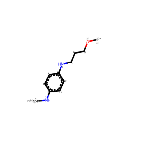 CCCCCCCNc1ccc(NCCCOC(C)C)cc1